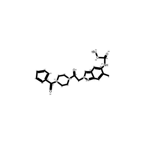 Cc1cc2nn(CC(=O)N3CCN(C(=O)c4ccccc4)CC3)cc2cc1NC(=O)OC(C)(C)C